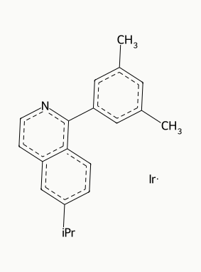 Cc1cc(C)cc(-c2nccc3cc(C(C)C)ccc23)c1.[Ir]